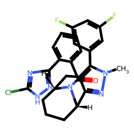 Cn1nc2c(c1-c1cc(F)cc(F)c1)C[C@H]1CCC[C@@H]2N1C(=O)c1ccccc1-c1n[nH]c(Cl)n1